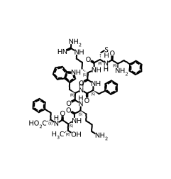 C[C@@H](O)[C@H](NC(=O)[C@H](CCCCN)NC(=O)[C@@H](Cc1c[nH]c2ccccc12)NC(=O)[C@H](Cc1ccccc1)NC(=O)[C@H](CCCNC(=N)N)NC(=O)[C@H](CS)NC(=O)[C@H](N)Cc1ccccc1)C(=O)N[C@@H](Cc1ccccc1)C(=O)O